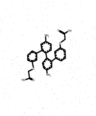 Nc1ccc(-c2ccc(N)cc2-c2cccc(OCC(=O)O)c2)c(-c2cccc(OCC(=O)O)c2)c1